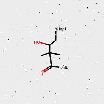 [CH2]C([CH2])COC(=O)C(C)(C)C(O)CCCCCCCC